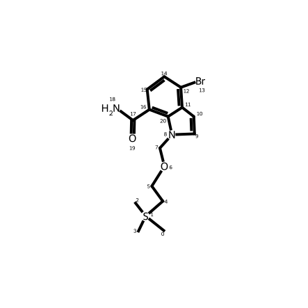 CS(C)(C)CCOCn1ccc2c(Br)ccc(C(N)=O)c21